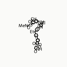 CCC(C1CCN(c2ccc3c(c2)C(=O)N(C2CCC(=O)NC2=O)C3=O)CC1)N1CCN(c2ncc(Cl)c(Nc3ccc4c(c3)cc(OCC(=O)NC)c(=O)n4C)n2)CC1